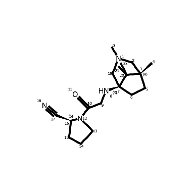 CN1C[C@]2(C)CC[C@](NCC(=O)N3CCC[C@H]3C#N)(C1)C2(C)C